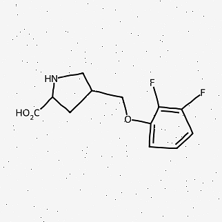 O=C(O)C1CC(COc2cccc(F)c2F)CN1